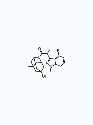 CC(C(=O)N1C2CC3(C)CC1CC(O)(C2)C3)C1=NN(C)C2CC=CC(F)=C12